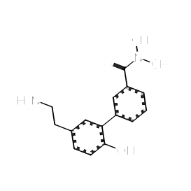 CN(C)C(=O)c1cccc(-c2cc(CCN)ccc2O)c1